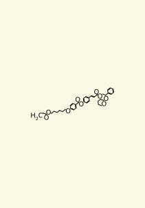 C=CC(=O)OCCCCCCOc1ccc(C(=O)Oc2ccc(C=CC(=O)OCC(O[C@@H]3CCCCO3)c3ccccc3)cc2)cc1